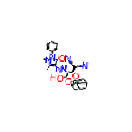 Cc1c(/N=N/C2=C(O)OC3(OC2=C(C#N)C#N)C2CC4CC(C2)CC3C4)c(=O)n(-c2ccccc2)n1C